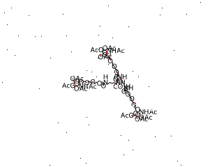 CC(=O)N[C@H]1[C@H](OCCOCCOCCOCC(=O)NC(CCCCNC(=O)COCCOCCOCCO[C@@H]2O[C@H](COC(C)=O)C(OC(C)=O)[C@H](OC(C)=O)[C@H]2NC(C)=O)C(=O)NC(CCCCNC(=O)COCCOCCOCCO[C@@H]2O[C@H](COC(C)=O)C(OC(C)=O)[C@H](OC(C)=O)[C@H]2NC(C)=O)C(=O)O)O[C@H](COC(C)=O)[C@H](OC(C)=O)[C@@H]1OC(C)=O